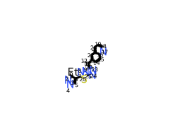 CCc1nn(C)cc1-c1nn2c([C@H](C)c3ccc4ncccc4c3)nnc2s1